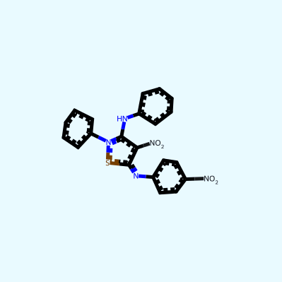 O=[N+]([O-])c1ccc(N=c2sn(-c3ccccc3)c(Nc3ccccc3)c2[N+](=O)[O-])cc1